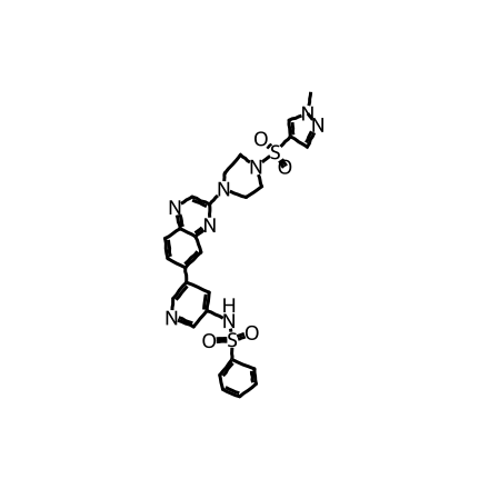 Cn1cc(S(=O)(=O)N2CCN(c3cnc4ccc(-c5cncc(NS(=O)(=O)c6ccccc6)c5)cc4n3)CC2)cn1